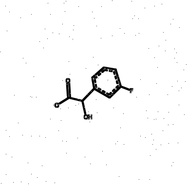 [O]C(=O)C(O)c1cccc(F)c1